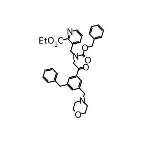 CCOC(=O)c1ncccc1CN(CC(=O)c1cc(Cc2ccccc2)cc(CN2CCOCC2)c1)C(=O)OCc1ccccc1